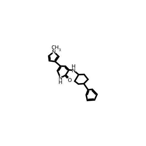 Cn1ccc(-c2c[nH]c(=O)c(NC3CCC(c4ccccc4)CC3)c2)c1